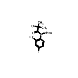 CCCCCCN(C(=O)C(C)(C)CC)c1ccc(F)[c]c1F.[Ti]